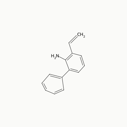 C=Cc1cccc(-c2ccccc2)c1N